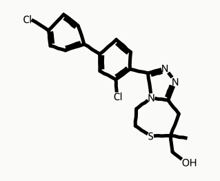 CC1(CO)Cc2nnc(-c3ccc(-c4ccc(Cl)cc4)cc3Cl)n2CCS1